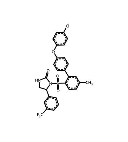 Cc1ccc(S(=O)(=O)N2C(=O)NCC2c2cccc(C(F)(F)F)c2)c(-c2ccc(Oc3ccc(Cl)cc3)cc2)c1